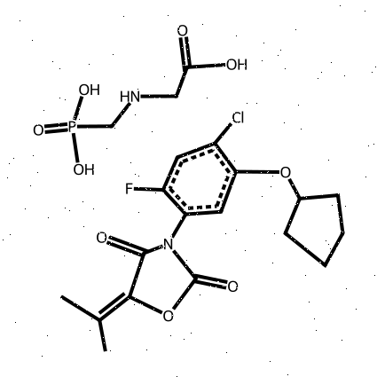 CC(C)=C1OC(=O)N(c2cc(OC3CCCC3)c(Cl)cc2F)C1=O.O=C(O)CNCP(=O)(O)O